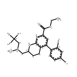 CCOC(=O)c1cc(-c2ccc(F)cc2F)c2c(n1)OC(CN(C)CC(F)(F)F)CC2